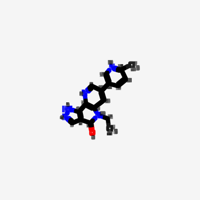 O=c1c2cn[nH]c2c2ncc(-c3ccc(C(F)(F)F)nc3)cc2n1CC(F)(F)F